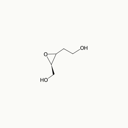 OCCC1O[C@@H]1CO